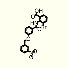 O=C(Nc1c(Br)cccc1C(=O)O)c1cccc(OCc2cccc([N+](=O)[O-])c2)c1